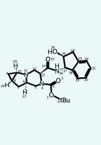 CC(C)(C)OC(=O)N1C[C@H]2C[C@H]3C[C@H]3N2C[C@H]1C(=O)N[C@H]1c2ccccc2C[C@@H]1O